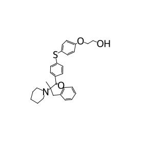 CC(Cc1ccccc1)(C(=O)c1ccc(Sc2ccc(OCCO)cc2)cc1)N1CCCCC1